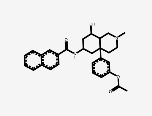 CC(=O)Oc1cccc(C23CCN(C)CC2C(O)CC(NC(=O)c2ccc4ccccc4c2)C3)c1